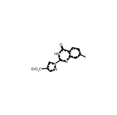 CCOC(=O)c1cnn(-c2nc3cc(I)ccc3c(=O)[nH]2)c1